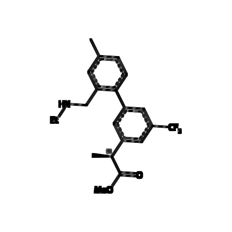 CCNCc1cc(C)ccc1-c1cc([C@H](C)C(=O)OC)cc(C(F)(F)F)c1